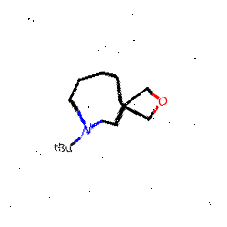 CC(C)(C)N1CCCC2(COC2)C1